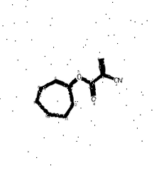 C=C(C#N)C(=O)OC1CCCCCC1